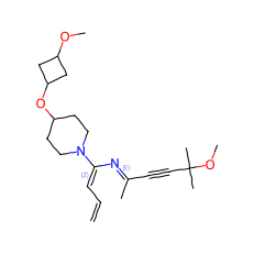 C=C/C=C(\N=C(/C)C#CC(C)(C)OC)N1CCC(OC2CC(OC)C2)CC1